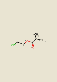 C[C](C)C(=O)OCCCl